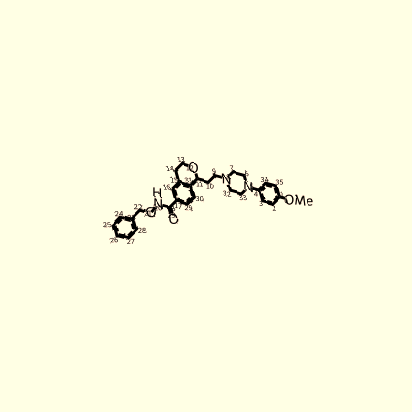 COc1ccc(N2CCN(CCC3OCCc4cc(C(=O)NOCc5ccccc5)ccc43)CC2)cc1